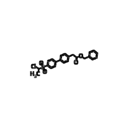 CC(Cl)S(=O)(=O)c1ccc(-c2ccc(CC(=O)OCc3ccccc3)cc2)cc1